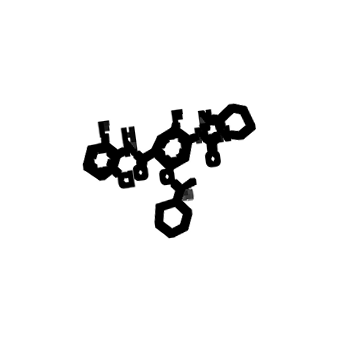 C[C@H](Oc1cc(-n2nc3n(c2=O)CCCC3)c(F)cc1C(=O)Nc1c(F)cccc1Cl)C1CCCCC1